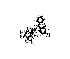 CN1C(=O)NC(=O)C2(CCOC(c3ccccc3)c3ccc(Cl)cc3)C1NCN2C